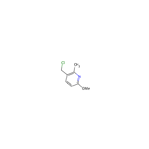 COc1ccc(CCl)c(C)n1